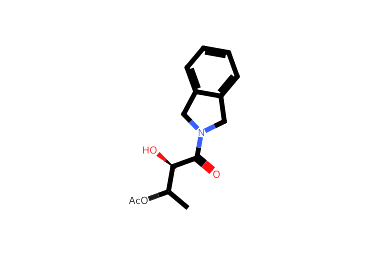 CC(=O)OC(C)[C@@H](O)C(=O)N1Cc2ccccc2C1